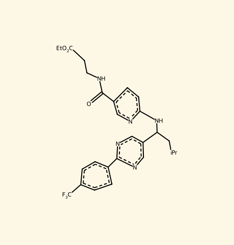 CCOC(=O)CCNC(=O)c1ccc(NC(CC(C)C)c2cnc(-c3ccc(C(F)(F)F)cc3)nc2)nc1